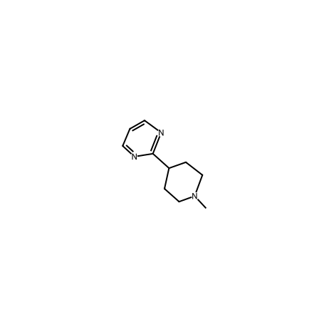 CN1CCC(c2ncccn2)CC1